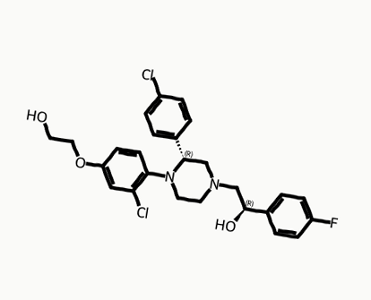 OCCOc1ccc(N2CCN(C[C@H](O)c3ccc(F)cc3)C[C@H]2c2ccc(Cl)cc2)c(Cl)c1